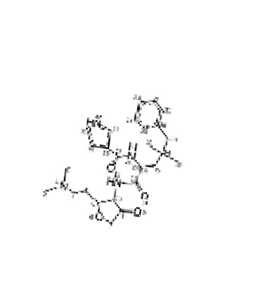 CN(C)CCC1OCC(=O)C1NC(=O)[C@H](CC(C)(C)Cc1ccccc1)NC(=O)c1cc[nH]c1